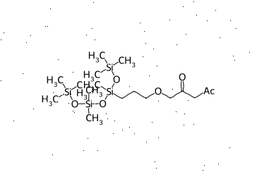 CC(=O)CC(=O)COCCC[Si](C)(O[Si](C)(C)C)O[Si](C)(C)O[Si](C)(C)C